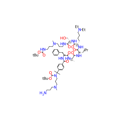 CCN(CC)CCCC[C@H](NC(=O)[C@H](CC(C)C)NC(=O)[C@H](C)NC(=O)[C@H](Cc1ccccc1)NC(=O)c1ccc(C(C)(C)N(CCCN(C)CCCN)C(=O)OC(C)(C)C)cc1)C(=O)N[C@@H](CO)C(=O)NCCCN(C)CCCNC(=O)OC(C)(C)C